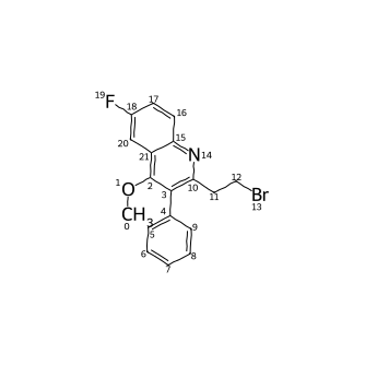 COc1c(-c2ccccc2)c(CCBr)nc2ccc(F)cc12